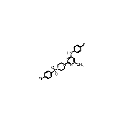 CCc1ccc(S(=O)(=O)N2CCN(c3nc(C)cc(Nc4ccc(F)cc4)n3)CC2)cc1